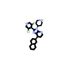 Clc1cncc(Cl)c1-c1nc2c(-c3ccc4ccccc4c3)ccnc2n1C1CCNCC1